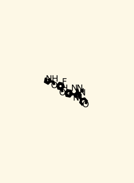 Nc1ncnc2c1c(-c1ccc(Oc3cc(F)cc(OCc4ccc[nH]4)c3)cc1)nn2C1CCOCC1